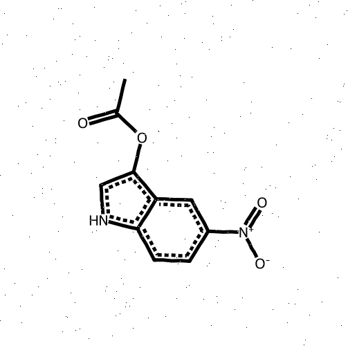 CC(=O)Oc1c[nH]c2ccc([N+](=O)[O-])cc12